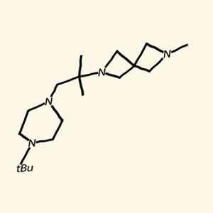 CN1CC2(C1)CN(C(C)(C)CN1CCN(C(C)(C)C)CC1)C2